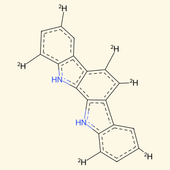 [2H]c1cc([2H])c2[nH]c3c4[nH]c5c([2H])cc([2H])cc5c4c([2H])c([2H])c3c2c1